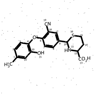 Cc1ccc(Oc2ccc(C3NC(C(=O)O)CCS3)cc2C#N)c(O)c1